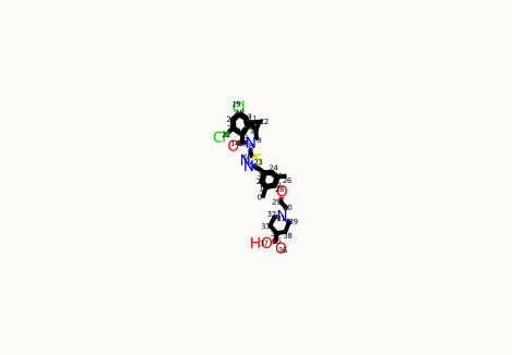 Cc1cc(-c2nnc(N(CC3CC3)C(=O)c3ccc(Cl)cc3Cl)s2)cc(C)c1OCCN1CCC(C(=O)O)CC1